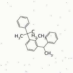 Cc1c(C(C)c2ccccc2)cccc1C(C)(C)c1ccccc1